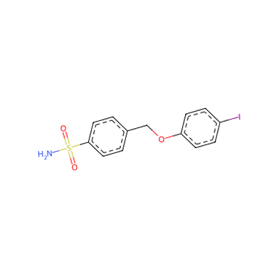 NS(=O)(=O)c1ccc(COc2ccc(I)cc2)cc1